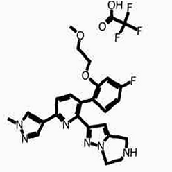 COCCOc1cc(F)ccc1-c1ccc(-c2cnn(C)c2)nc1-c1cc2n(n1)CCNC2.O=C(O)C(F)(F)F